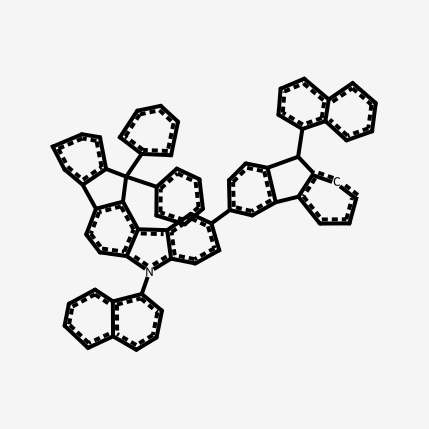 c1ccc(C2(c3ccccc3)c3ccccc3-c3ccc4c(c32)c2cc(-c3ccc5c(c3)-c3ccccc3C5c3cccc5ccccc35)ccc2n4-c2cccc3ccccc23)cc1